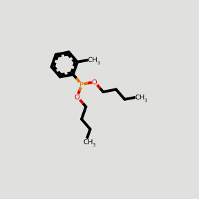 CCCCOP(OCCCC)c1ccccc1C